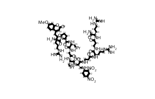 COc1ccc2c(CC(=O)[C@@](N)(CCCNC(=N)N)C(=O)N3CCC[C@H]3C(=O)N[C@@H](CC(C)C)C(=O)NCC(=O)N[C@@H](CC(C)C)C(=O)N[C@@H](CNc3ccc([N+](=O)[O-])cc3[N+](=O)[O-])C(=O)NCCC(=O)N[C@H](CCCNC(=N)N)C(=O)NCCC(=O)N[C@H](CCCNC(=N)N)C(N)=O)cc(=O)oc2c1